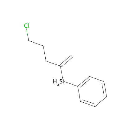 C=C(CCCCl)[SiH2]c1ccccc1